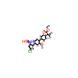 CCOC(=O)C1(c2ccc(-c3ccc(-c4sc(Cl)cc4NO)cc3OC)cc2)CC1